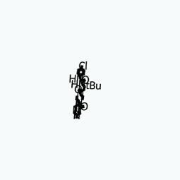 CN1C=C2C(=O)N(N3CCN(C(=O)CC(NC(=O)Nc4ccc(Cl)cc4)C(C)(C)C)CC3)CN2C1